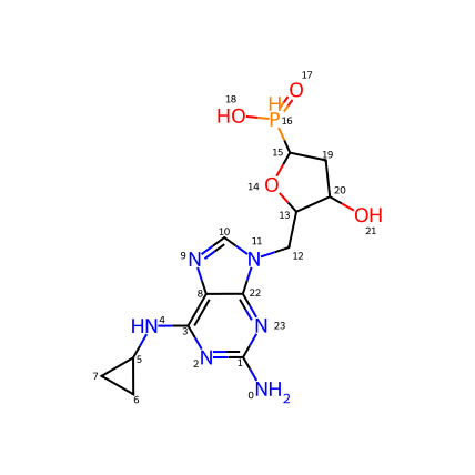 Nc1nc(NC2CC2)c2ncn(CC3OC([PH](=O)O)CC3O)c2n1